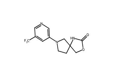 O=C1NC2(CCN(c3cncc(C(F)(F)F)c3)C2)CO1